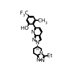 CCc1nnc2n1C[C@@H](n1cc3ccc(-c4c(C)cc(C(F)(F)F)cc4O)nc3n1)CC2